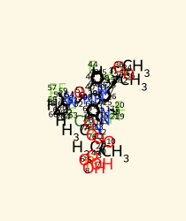 CC(C)(COP(=O)(O)O)C(=O)OCN(c1nn(CC(F)(F)F)c2c(-c3ccc(C#CC(C)(C)S(C)(=O)=O)nc3[C@H](Cc3cc(F)cc(F)c3)NC(=O)Cn3nc(C(F)(F)F)c4c3C(F)(F)[C@@H]3C[C@H]43)ccc(Cl)c12)S(C)(=O)=O